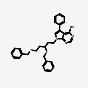 Nc1ncnc2c1c(-c1ccccc1)cn2CCC(CCOCc1ccccc1)OCc1ccccc1